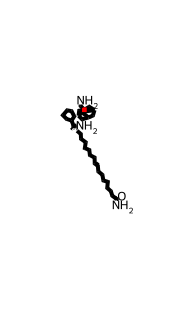 CCCCCCCCC=CCCCCCCCC(N)=O.C[C@H](N)C1CCCCC1.NCC12CC3CC(CC(C3)C1)C2